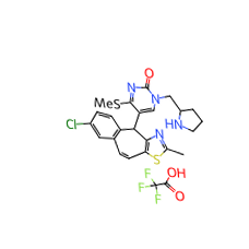 CSc1nc(=O)n(CC2CCCN2)cc1C1c2ccc(Cl)cc2C=Cc2sc(C)nc21.O=C(O)C(F)(F)F